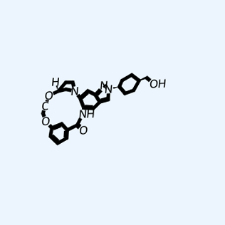 O=C1Nc2cc3cn([C@H]4CC[C@H](CO)CC4)nc3cc2N2CC[C@@H](C2)OCCOc2cccc1c2